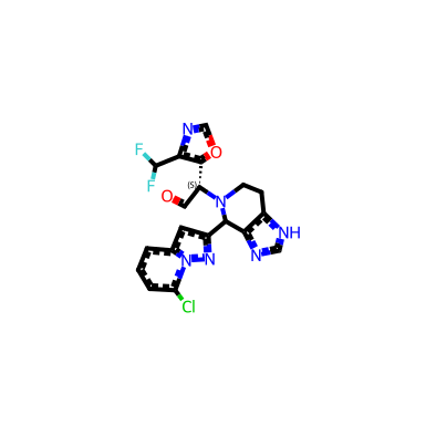 O=C[C@H](c1ocnc1C(F)F)N1CCc2[nH]cnc2C1c1cc2cccc(Cl)n2n1